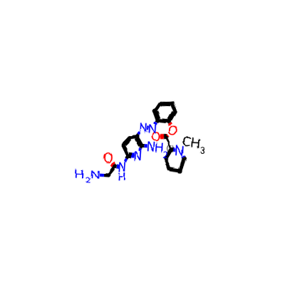 CN1CCCC[C@H]1C(=O)Oc1ccccc1/N=N/c1ccc(NC(=O)CN)nc1N